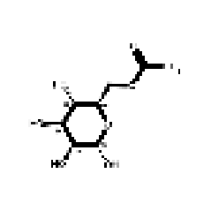 CC(=O)OC[C@H]1O[C@H](O)[C@@H](O)[C@@H](O)[C@@H]1O